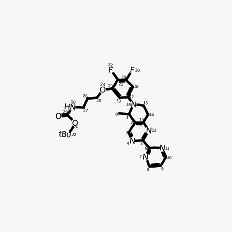 CC1c2cnc(-c3ncccn3)nc2CCN1c1cc(F)c(F)c(OCCCNC(=O)OC(C)(C)C)c1